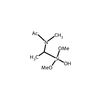 CO[Si](O)(OC)C(C)N(C)C(C)=O